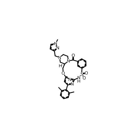 Cc1cccc(C)c1-c1cc2nc(n1)NS(=O)(=O)c1cccc(c1)C(=O)N1CCN(Cc3ccn(C)n3)C[C@@H]1CO2